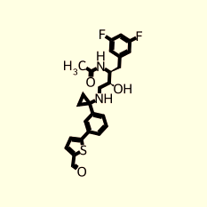 CC(=O)N[C@@H](Cc1cc(F)cc(F)c1)[C@H](O)CNC1(c2cccc(-c3ccc(C=O)s3)c2)CC1